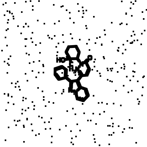 CC1(O)CCCCC1n1nc(-c2c(-c3ccccc3)nn3ccccc23)ccc1=O